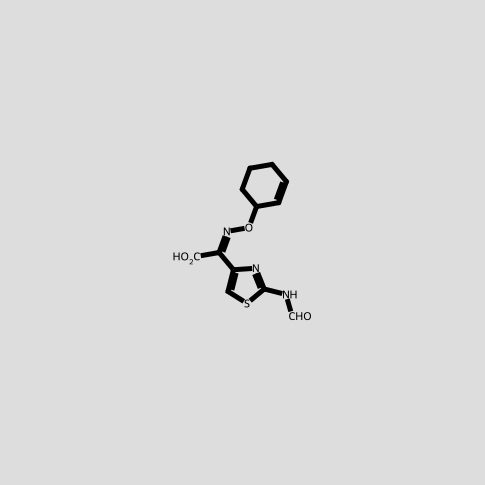 O=CNc1nc(C(=NOC2C=CCCC2)C(=O)O)cs1